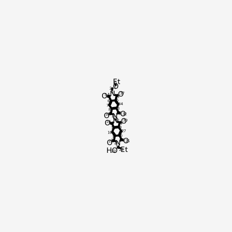 CCOCn1c(=O)c2cc3c(=O)n(-n4c(=O)c5cc6c(=O)n(C(O)CC)c(=O)c6cc5c4=O)c(=O)c3cc2c1=O